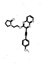 Cc1ccc(C#Cc2nc3ncccc3nc2OCCN2CCCC2=O)cc1